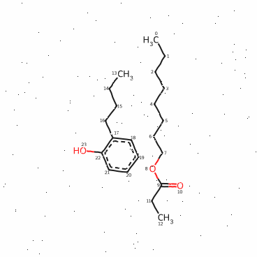 CCCCCCCCOC(=O)CC.CCCCc1ccccc1O